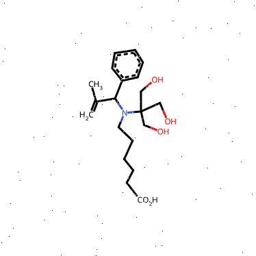 C=C(C)C(c1ccccc1)N(CCCCCC(=O)O)C(CO)(CO)CO